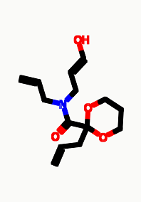 C=CCN(CC=CO)C(=O)C1(CC=C)OCCCO1